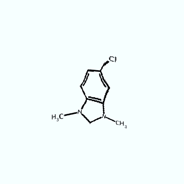 CN1[CH]N(C)c2cc(Cl)ccc21